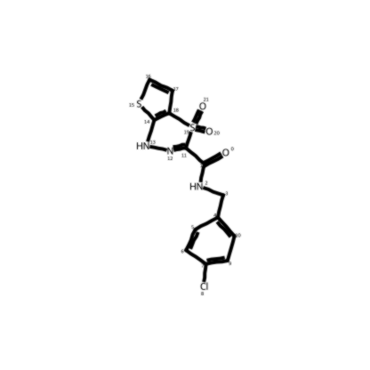 O=C(NCc1ccc(Cl)cc1)C1=NNc2sccc2S1(=O)=O